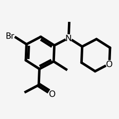 CC(=O)c1cc(Br)cc(N(C)C2CCOCC2)c1C